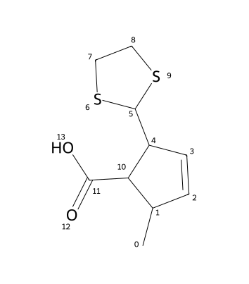 CC1C=CC(C2SCCS2)C1C(=O)O